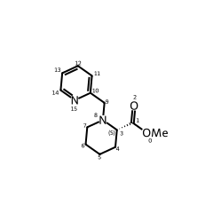 COC(=O)[C@@H]1CCCCN1Cc1ccccn1